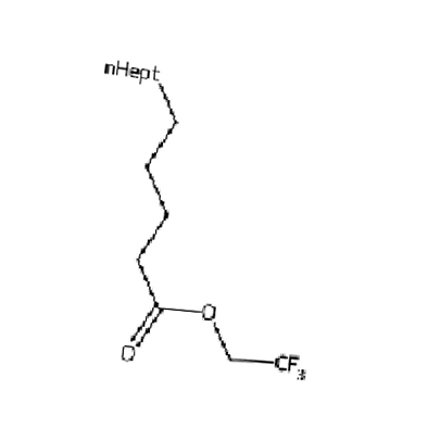 CCCCCCCCCCCC(=O)OCC(F)(F)F